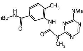 CCCCNC(=O)c1ccc(C)c(NC(=O)N(C)c2ncnc(NC)n2)c1